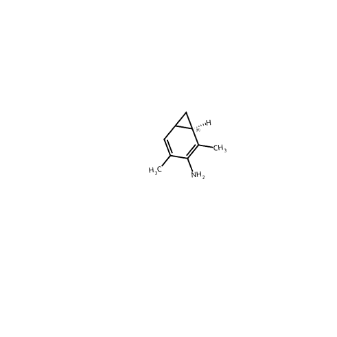 CC1=CC2C[C@H]2C(C)=C1N